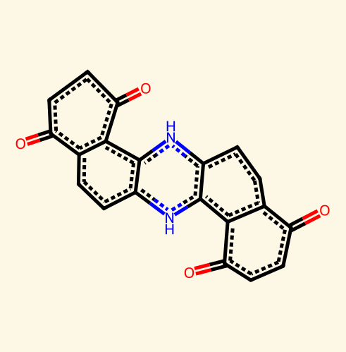 O=c1ccc(=O)c2c1ccc1[nH]c3c(ccc4c(=O)ccc(=O)c43)[nH]c12